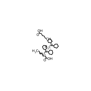 CCCCCC(=O)O.CCCCCCC(=O)O.CN(C1CCCCC1)C1CCCCC1.CN(C1CCCCC1)C1CCCCC1